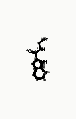 CC(C)CNC(=O)c1cc2cccnc2[nH]1